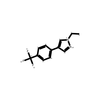 CCn1cc(-c2ccc(C(F)(F)F)cc2)cn1